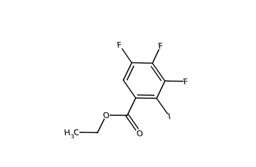 CCOC(=O)c1cc(F)c(F)c(F)c1I